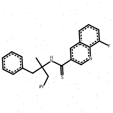 CC(C)CC(C)(Cc1ccccc1)NC(=S)c1cnc2c(F)cccc2c1